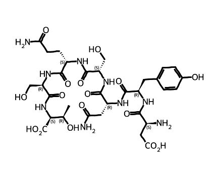 C[C@@H](O)[C@H](NC(=O)[C@@H](CO)NC(=O)[C@H](CCC(N)=O)NC(=O)[C@H](CO)NC(=O)[C@@H](CC(N)=O)NC(=O)[C@@H](Cc1ccc(O)cc1)NC(=O)[C@@H](N)CC(=O)O)C(=O)O